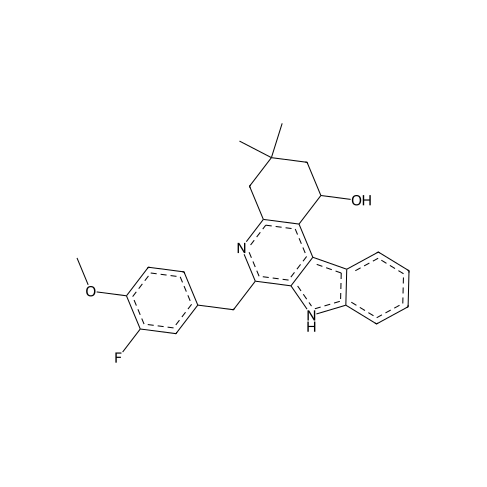 COc1ccc(Cc2nc3c(c4c2[nH]c2ccccc24)C(O)CC(C)(C)C3)cc1F